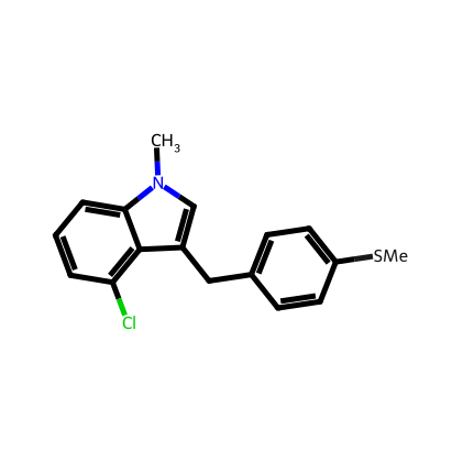 CSc1ccc(Cc2cn(C)c3cccc(Cl)c23)cc1